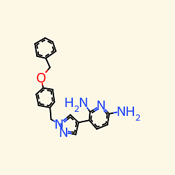 Nc1ccc(-c2cnn(Cc3ccc(OCc4ccccc4)cc3)c2)c(N)n1